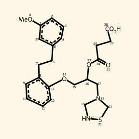 COc1cccc(CCc2ccccc2OCC(CN2CNSC2)OC(=O)CCC(=O)O)c1